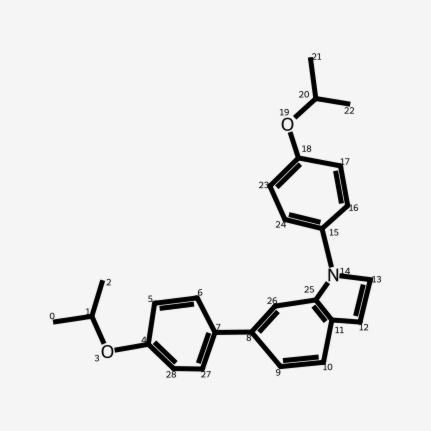 CC(C)Oc1ccc(-c2ccc3ccn(-c4ccc(OC(C)C)cc4)c3c2)cc1